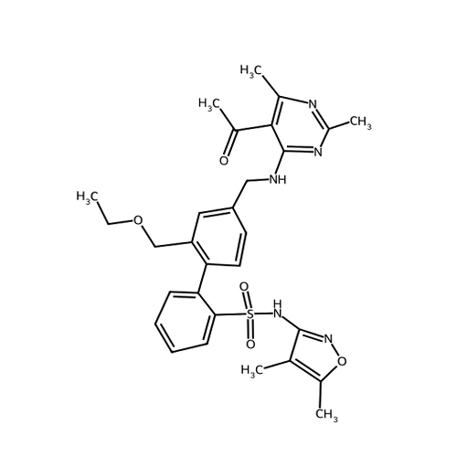 CCOCc1cc(CNc2nc(C)nc(C)c2C(C)=O)ccc1-c1ccccc1S(=O)(=O)Nc1noc(C)c1C